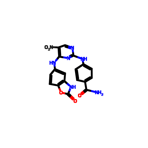 NC(=O)c1ccc(Nc2ncc([N+](=O)[O-])c(Nc3ccc4oc(=O)[nH]c4c3)n2)cc1